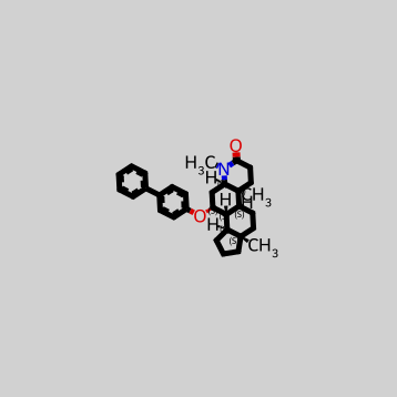 CN1C(=O)CC[C@]2(C)[C@H]3CC[C@]4(C)CCC[C@H]4[C@@H]3[C@@H](Oc3ccc(-c4ccccc4)cc3)C[C@@H]12